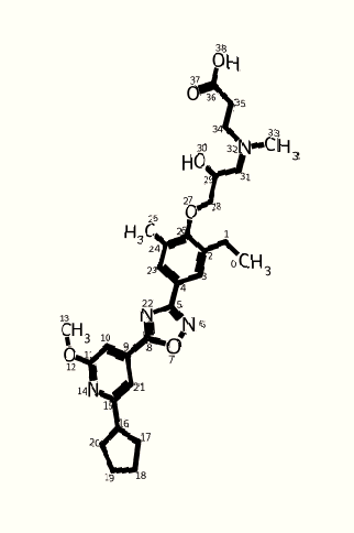 CCc1cc(-c2noc(-c3cc(OC)nc(C4CCCC4)c3)n2)cc(C)c1OCC(O)CN(C)CCC(=O)O